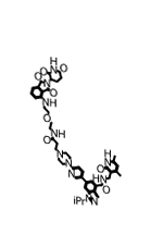 Cc1cc(C)c(CNC(=O)c2cc(-c3ccc(N4CCN(CCC(=O)NCCOCCNc5cccc6c5C(=O)N(C5CCC(=O)NC5=O)C6=O)CC4)nc3)cc3c2cnn3C(C)C)c(=O)[nH]1